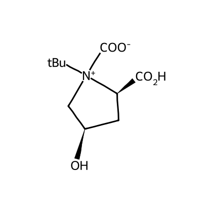 CC(C)(C)[N+]1(C(=O)[O-])C[C@H](O)C[C@@H]1C(=O)O